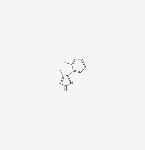 Cc1[c][nH]nc1-c1ccccc1C